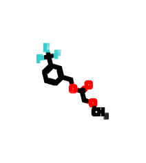 COCC(=O)OCc1cccc(C(F)(F)F)c1